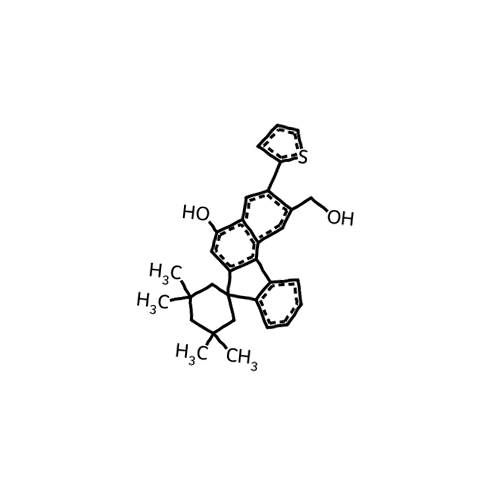 CC1(C)CC(C)(C)CC2(C1)c1ccccc1-c1c2cc(O)c2cc(-c3cccs3)c(CO)cc12